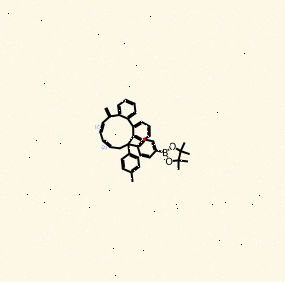 C=C1/C=C\C=C/CC(c2ccc(C)cc2)(c2ccc(B3OC(C)(C)C(C)(C)O3)cc2)c2ccccc2-c2ccccc21